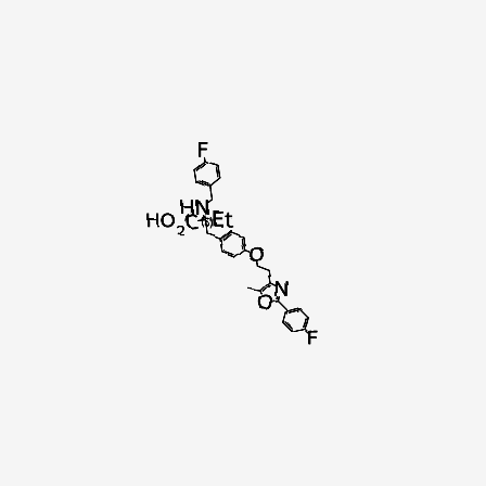 CC[C@@](Cc1ccc(OCCc2nc(-c3ccc(F)cc3)oc2C)cc1)(NCc1ccc(F)cc1)C(=O)O